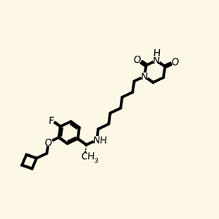 C[C@@H](NCCCCCCCN1CCC(=O)NC1=O)c1ccc(F)c(OCC2CCC2)c1